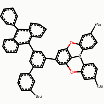 CC(C)(C)c1cccc(-c2cc(-c3cc4c5c(c3)Oc3cc(C(C)(C)C)ccc3B5c3ccc(C(C)(C)C)cc3O4)cc(-c3c4ccccc4c(-c4ccccc4)c4ccccc34)c2)c1